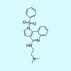 CN(C)CCNc1nc2ccccc2c2c1ccn2S(=O)(=O)c1ccccc1